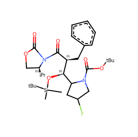 CC(C)[C@H]1COC(=O)N1C(=O)[C@@H](Cc1ccccc1)[C@H](O[Si](C)(C)C(C)(C)C)C1CC(F)CN1C(=O)OC(C)(C)C